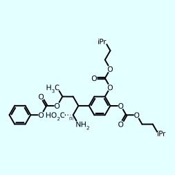 CC(C)CCOC(=O)Oc1ccc(C(CC(C)OC(=O)Oc2ccccc2)[C@H](N)C(=O)O)cc1OC(=O)OCCC(C)C